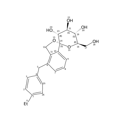 CCc1ccc(Cc2cccc3c2CO[C@]32O[C@H](CO)[C@@H](O)[C@H](O)[C@H]2O)cc1